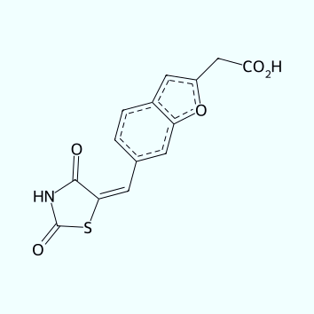 O=C(O)Cc1cc2ccc(C=C3SC(=O)NC3=O)cc2o1